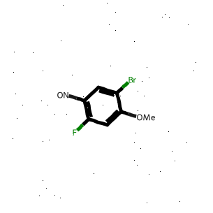 COc1cc(F)c(N=O)cc1Br